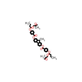 CCCC(OCC1(C)CO1)Oc1ccc(C(=O)Oc2ccc3c(c2)C(C)c2cc(OC(=O)c4ccc(OC(CCC)OCC5(C)CO5)cc4)ccc2-3)cc1